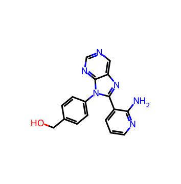 Nc1ncccc1-c1nc2cncnc2n1-c1ccc(CO)cc1